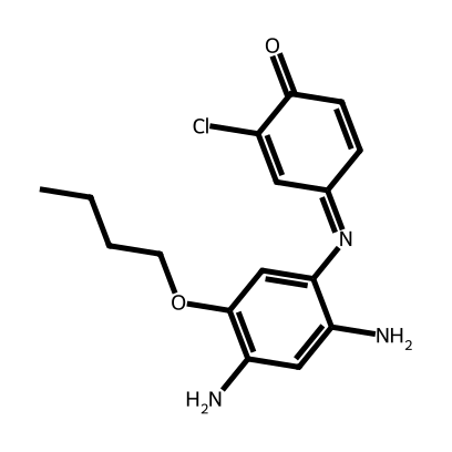 CCCCOc1cc(N=C2C=CC(=O)C(Cl)=C2)c(N)cc1N